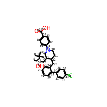 CC(C)(C)[Si](C)(O)CC1CN(c2ccc(C(=O)O)cc2)CCC1Cc1ccccc1-c1ccc(Cl)cc1